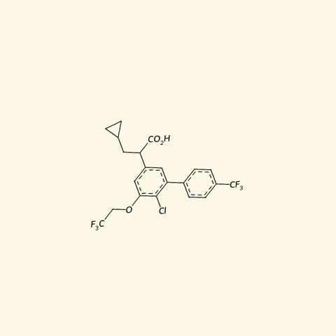 O=C(O)C(CC1CC1)c1cc(OCC(F)(F)F)c(Cl)c(-c2ccc(C(F)(F)F)cc2)c1